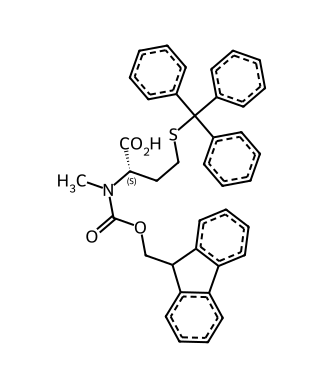 CN(C(=O)OCC1c2ccccc2-c2ccccc21)[C@@H](CCSC(c1ccccc1)(c1ccccc1)c1ccccc1)C(=O)O